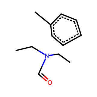 CCN(C=O)CC.Cc1ccccc1